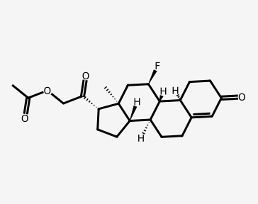 CC(=O)OCC(=O)[C@H]1CC[C@H]2[C@@H]3CCC4=CC(=O)CC[C@@H]4[C@H]3[C@H](F)C[C@]12C